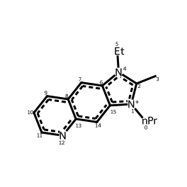 CCC[n+]1c(C)n(CC)c2cc3cccnc3cc21